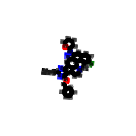 C=C1c2nc(SC)nc(OCc3ccccc3)c2-c2ccnc(-c3c4cnn(C5CCCCO5)c4cc4ccc(F)c(CC)c34)c21